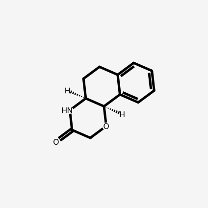 O=C1CO[C@@H]2c3ccccc3CC[C@@H]2N1